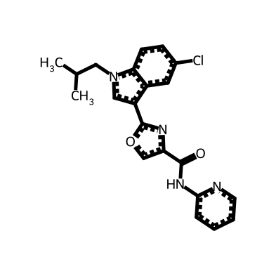 CC(C)Cn1cc(-c2nc(C(=O)Nc3ccccn3)co2)c2cc(Cl)ccc21